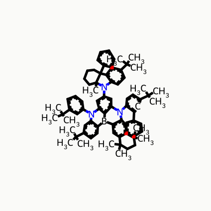 CC(C)(C)c1cccc(N2c3cc(C(C)(C)C)ccc3B3c4cc5c(cc4N(c4ccc(C(C)(C)C)cc4-c4ccccc4)c4cc(N6c7ccc(C(C)(C)C)cc7C7(c8ccccc8)CCCCC67C)cc2c43)C(C)(C)CCC5(C)C)c1